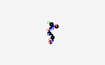 O=C(NCc1nn(C2CCCCO2)c2ccc(Cl)cc12)c1cncc(Cc2ccc(CN3CCOC3=O)cc2)c1